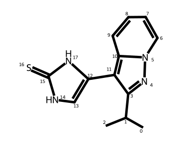 CC(C)c1nn2ccccc2c1-c1c[nH]c(=S)[nH]1